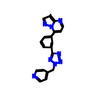 [c]1cnn2c(-c3cccc(-c4nnn(Cc5ccncc5)n4)c3)ccnc12